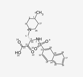 CC1CCN(C[C@H](NS(=O)(=O)c2ccc3ccccc3c2)C(=O)C(=O)O)CC1